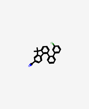 CC1(C)c2cc(C#N)ccc2-c2c(-c3ccccc3-c3cccc(Cl)c3)cccc21